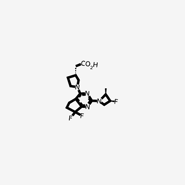 C[C@H]1[C@@H](F)CN1c1nc(N2CC[C@H](CC(=O)O)C2)c2c(n1)C(F)(F)CC2